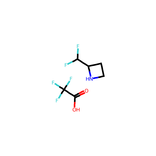 FC(F)C1CCN1.O=C(O)C(F)(F)F